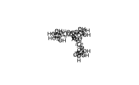 CC(=O)OC[C@H]1O[C@@H](O[C@@](CC(=O)OCc2ccc(O[C@@H]3O[C@H](CO)[C@@H](O)[C@H](O)[C@H]3O)cc2)(CC(C)C)C(=O)OCc2ccc(O[C@@H]3O[C@H](CO)[C@@H](O)[C@H](O)[C@H]3O)cc2)[C@H](O)[C@@H](O)[C@@H]1O